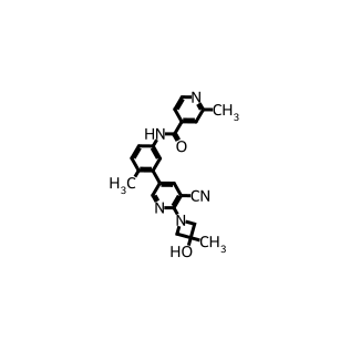 Cc1cc(C(=O)Nc2ccc(C)c(-c3cnc(N4CC(C)(O)C4)c(C#N)c3)c2)ccn1